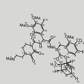 CNCCN1CCN(C(=O)NC(C(=O)N[C@@H](Cc2ccc(F)c(C(=O)O)c2OC)B2O[C@@H]3C[C@@H]4C[C@@H](C4(C)C)[C@]3(C)O2)c2cc(F)c(OC)c(OC)c2Cl)C(=O)C1=O